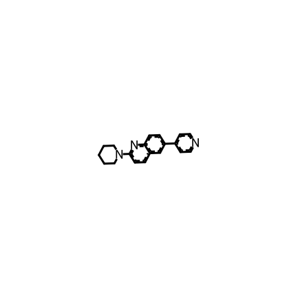 c1cc(-c2ccc3nc(N4CCCCC4)ccc3c2)ccn1